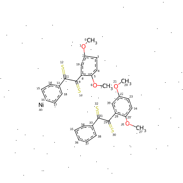 COc1ccc(OC)c(C(=S)C(=S)c2ccccc2)c1.COc1ccc(OC)c(C(=S)C(=S)c2ccccc2)c1.[Ni]